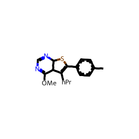 CCCC1=C(c2ccc(C)cc2)SC2N=CN=C(OC)C12